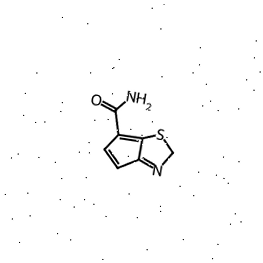 NC(=O)C1=C2SCN=C2C=C1